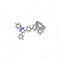 c1ccc(-c2cc(-c3ccc(-c4ccc5c(c4)-c4ccccc4C54c5ccccc5Oc5ccccc54)cc3)nc(-c3ccccc3)n2)cc1